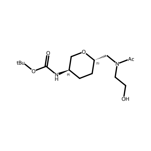 CC(=O)N(CCO)C[C@@H]1CC[C@@H](NC(=O)OC(C)(C)C)CO1